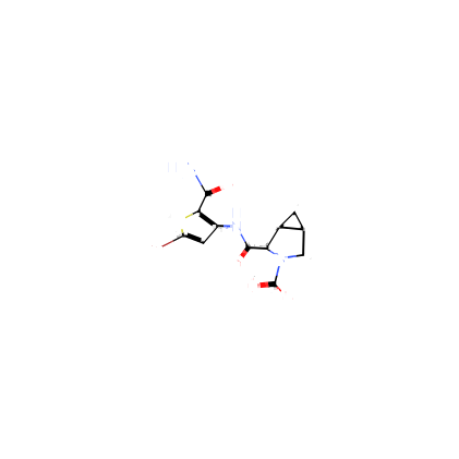 NC(=O)c1sc(Br)cc1NC(=O)C1C2CC2CN1C(=O)O